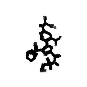 CCC(Nc1cc(C(F)F)c(-c2sc(C(=O)N(C)C(C)(C)CO)nc2C(=O)N2C3CCC2CC3)cn1)C(F)(F)F